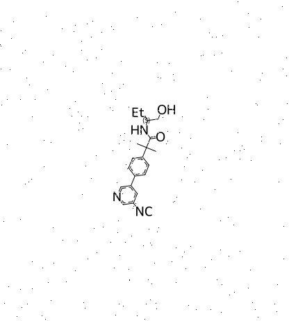 [C-]#[N+]c1cncc(-c2ccc(C(C)(C)C(=O)N[C@@H](CC)CO)cc2)c1